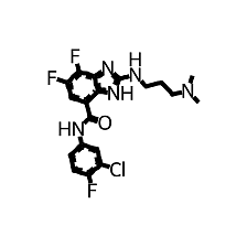 CN(C)CCCNc1nc2c(F)c(F)cc(C(=O)Nc3ccc(F)c(Cl)c3)c2[nH]1